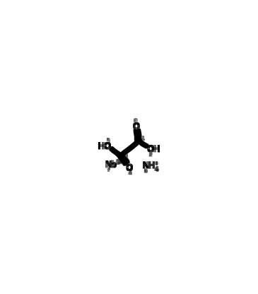 O=C(O)C(=O)O.[NH4+].[Nb+5]